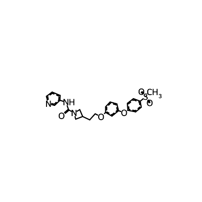 CS(=O)(=O)c1ccc(Oc2cccc(OCCC3CN(C(=O)Nc4cccnc4)C3)c2)cc1